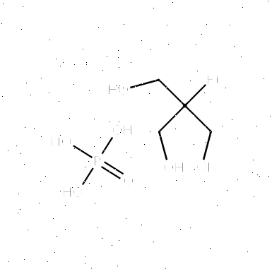 CCC(CO)(CO)CO.O=P(O)(O)O